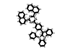 c1ccc(-n2c3ccccc3n3c4ccccc4c(-c4ccc(-c5nc(-c6cccc7ccccc67)nc(-c6cccc7ccccc67)n5)cc4)c23)cc1